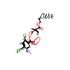 COCCOC(=O)C(C)(C)OC(=O)c1cc(N)c(F)cc1Cl